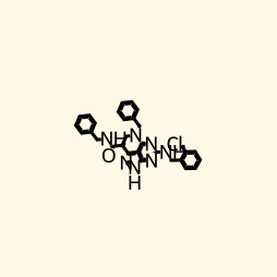 O=C(NCc1ccccc1)C1CN(Cc2ccccc2)c2nc(NCc3ccccc3Cl)nc3[nH]nc1c23